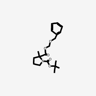 CC(C)(C)OC(=O)N1CCCC1(C)C(=O)OCOCc1ccccc1